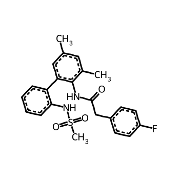 Cc1cc(C)c(NC(=O)Cc2ccc(F)cc2)c(-c2ccccc2NS(C)(=O)=O)c1